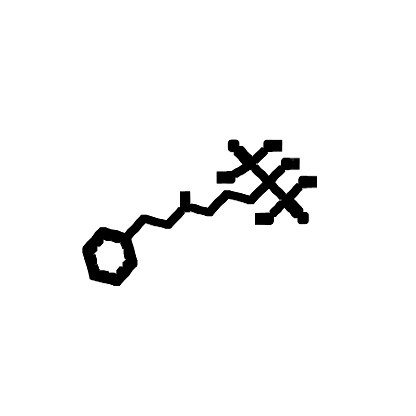 O=P(O)(O)C(O)(CCCNCCc1ccccc1)P(=O)(O)O